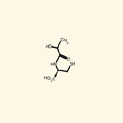 CC(O)C(=O)N[C@@H](CS)C(=O)O